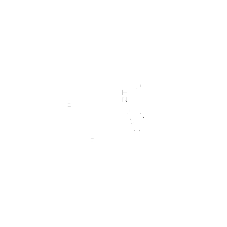 CCc1ccc(CNC(=O)C2CCCN2S(=O)(=O)c2ccc(F)cc2)cc1